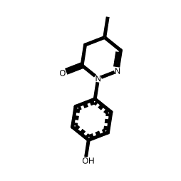 CC1C=NN(c2ccc(O)cc2)C(=O)C1